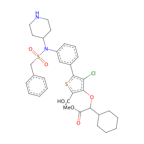 COC(=O)C(Oc1c(C(=O)O)sc(-c2cccc(N(C3CCNCC3)S(=O)(=O)Cc3ccccc3)c2)c1Cl)C1CCCCC1